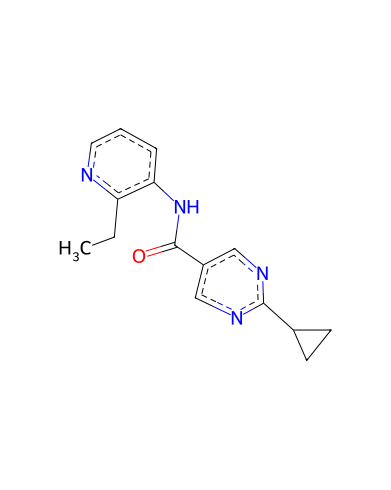 CCc1ncccc1NC(=O)c1cnc(C2CC2)nc1